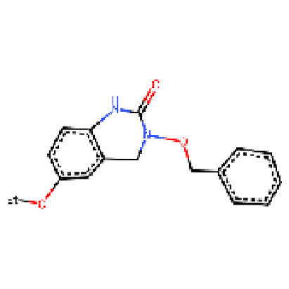 CCOc1ccc2c(c1)CN(OCc1ccccc1)C(=O)N2